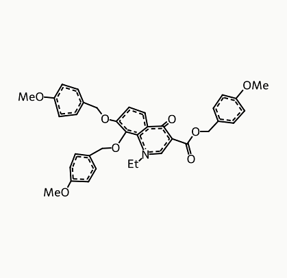 CCn1cc(C(=O)OCc2ccc(OC)cc2)c(=O)c2ccc(OCc3ccc(OC)cc3)c(OCc3ccc(OC)cc3)c21